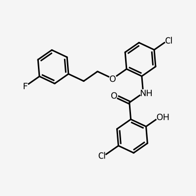 O=C(Nc1cc(Cl)ccc1OCCc1cccc(F)c1)c1cc(Cl)ccc1O